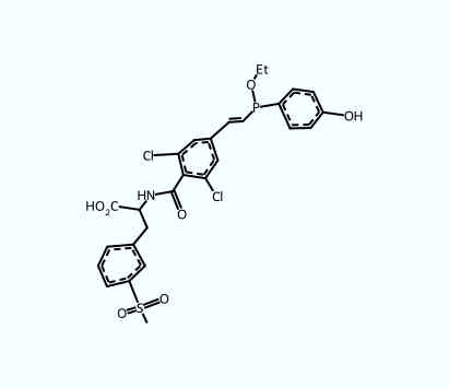 CCOP(/C=C/c1cc(Cl)c(C(=O)NC(Cc2cccc(S(C)(=O)=O)c2)C(=O)O)c(Cl)c1)c1ccc(O)cc1